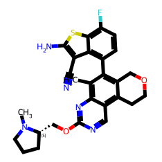 Cc1c(-c2ccc(F)c3sc(N)c(C#N)c23)c2c(c3cnc(OC[C@@H]4CCCN4C)nc13)CCOC2